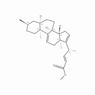 COC(=O)/C=C/[C@@H](C)C1=CC[C@H]2[C@@H]3CC[C@@H]4C[C@H](C)CC[C@]4(C)C3=CC[C@]12C